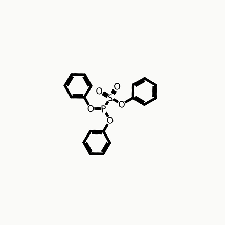 O=S(=O)(Oc1ccccc1)P(Oc1ccccc1)Oc1ccccc1